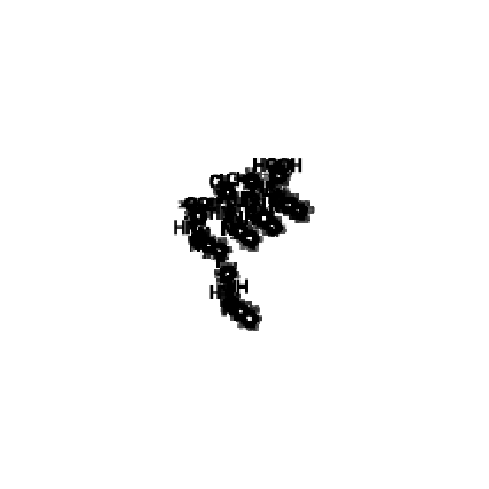 COc1ccc(Nc2cnc3cc4ccccc4cc3n2)cc1OC.Clc1ccc(NNc2cnc3cc4ccccc4cc3n2)c(Cl)c1.Clc1cccc(NNc2cnc3cc4ccccc4cc3n2)c1.Fc1ccc(NNc2cnc3cc4ccccc4cc3n2)cc1.Oc1ccc(Nc2cnc3cc4ccccc4cc3n2)cc1O